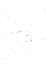 CCOC(=O)/C=C/C12CC(C=O)(C1)C2